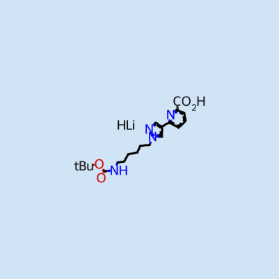 CC(C)(C)OC(=O)NCCCCCCn1cc(-c2cccc(C(=O)O)n2)cn1.[LiH]